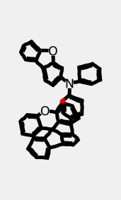 c1ccc(N(c2ccc(-c3cccc4c3C3(c5ccccc5Oc5ccccc53)c3ccccc3-4)cc2)c2ccc3c(c2)oc2ccccc23)cc1